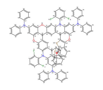 Fc1cccc(F)c1N1c2cc3c(cc2B2c4sc5ccccc5c4Oc4cc(N(c5ccccc5)c5ccccc5)cc1c42)B1c2cc4c(cc2Oc2cc(N(c5ccccc5)c5ccccc5)cc(c21)O3)N(c1c(F)cccc1F)c1cc(N(c2ccccc2)c2ccccc2)cc2c1B4c1sc3ccccc3c1O2